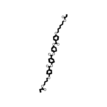 C=CC(=O)OCCCCCCOc1ccc(C(=O)OC2=CC=C(OC(=O)c3ccc(OC(=O)c4ccc(OCCCCOC(=O)C=C)cc4)cc3)CC2)cc1